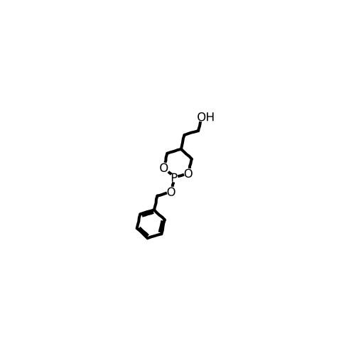 OCCC1COP(OCc2ccccc2)OC1